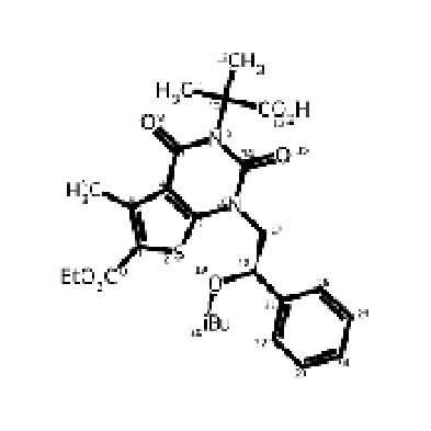 CCOC(=O)c1sc2c(c1C)c(=O)n(C(C)(C)C(=O)O)c(=O)n2C[C@H](O[C@H](C)CC)c1ccccc1